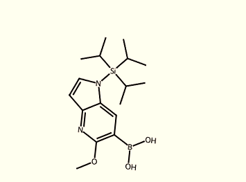 COc1nc2ccn([Si](C(C)C)(C(C)C)C(C)C)c2cc1B(O)O